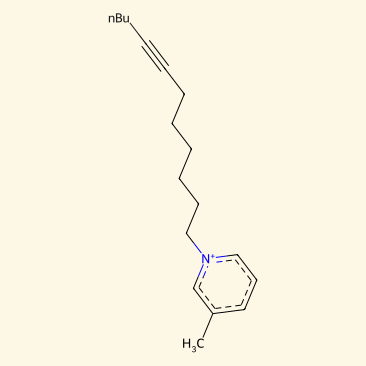 CCCCC#CCCCCCC[n+]1cccc(C)c1